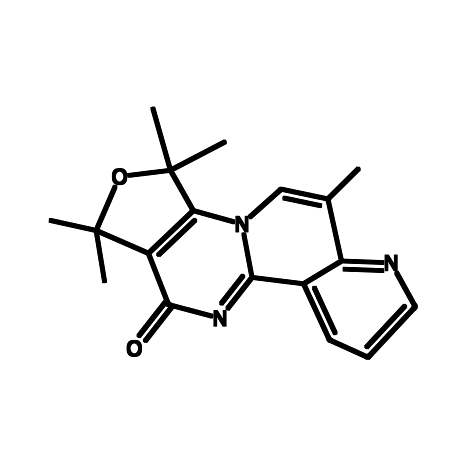 Cc1cn2c3c(c(=O)nc2c2cccnc12)C(C)(C)OC3(C)C